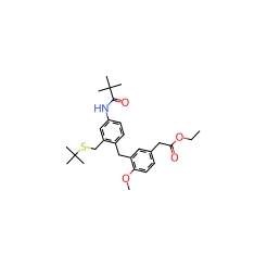 CCOC(=O)Cc1ccc(OC)c(Cc2ccc(NC(=O)C(C)(C)C)cc2CSC(C)(C)C)c1